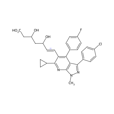 Cn1nc(-c2ccc(Cl)cc2)c2c(-c3ccc(F)cc3)c(/C=C/C(O)CC(O)CC(=O)O)c(C3CC3)nc21